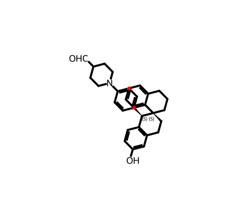 O=CC1CCN(c2ccc([C@@H]3c4ccc(O)cc4CC[C@@]34CCCc3ccccc34)cc2)CC1